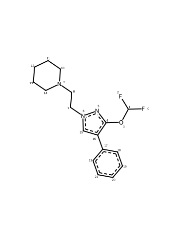 FC(F)Oc1nn(CCN2CCCCC2)cc1-c1ccccc1